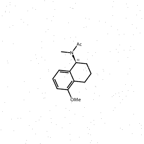 COc1cccc2c1CCC[C@@H]2N(C)C(C)=O